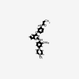 C=CC(=O)Nc1cccc(Oc2nc(Nc3ccc(N4CCN(CC)CC4)cc3OC)nc3ccsc23)c1